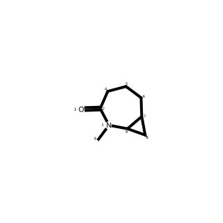 CN1C(=O)CCCC2CC21